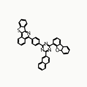 C1=CC2Oc3c(-c4nc(-c5ccc(-c6nc7c8ccccc8sc7c7ccccc67)cc5)nc(-c5ccc6ccccc6c5)n4)cccc3C2C=C1